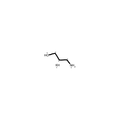 NCCCO.[KH]